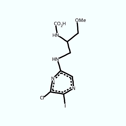 COCC(CNc1cnc(I)c(Cl)n1)NC(=O)O